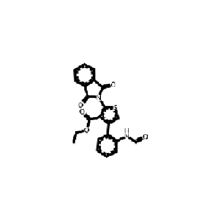 CCOC(=O)c1c(-c2ccccc2NC=O)csc1N1C(=O)c2ccccc2C1=O